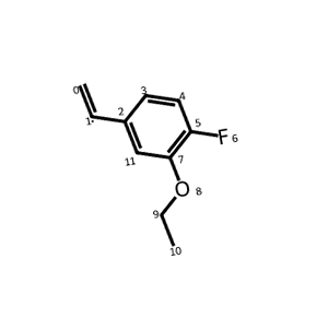 C=[C]c1ccc(F)c(OCC)c1